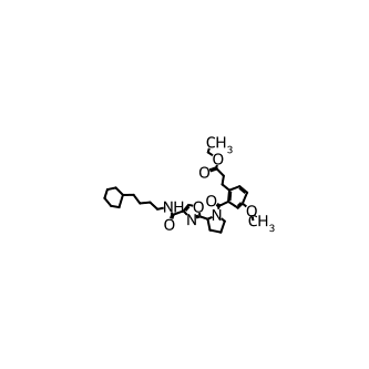 CCOC(=O)CCc1ccc(OC)cc1C(=O)N1CCCC1c1nc(C(=O)NCCCCC2CCCCC2)co1